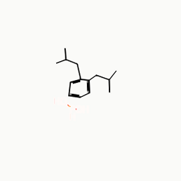 CC(C)Cc1ccccc1CC(C)C.OPO